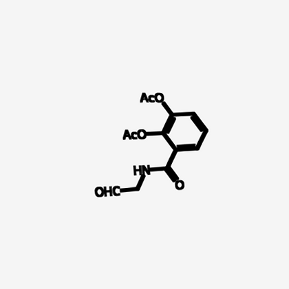 CC(=O)Oc1cccc(C(=O)NCC=O)c1OC(C)=O